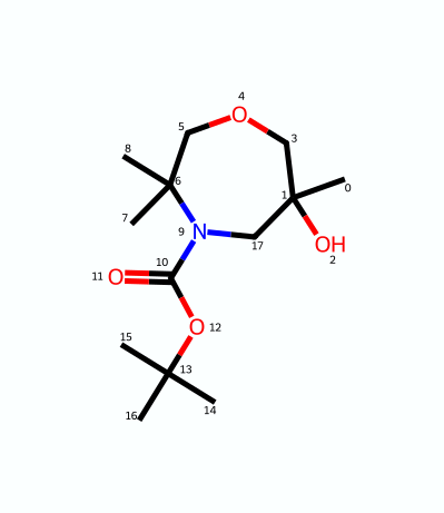 CC1(O)COCC(C)(C)N(C(=O)OC(C)(C)C)C1